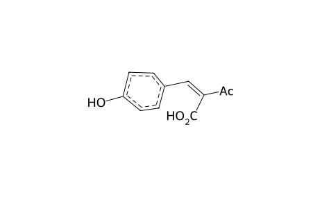 CC(=O)C(=Cc1ccc(O)cc1)C(=O)O